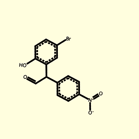 O=CC(c1ccc([N+](=O)[O-])cc1)c1cc(Br)ccc1O